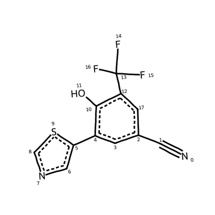 N#Cc1cc(-c2cncs2)c(O)c(C(F)(F)F)c1